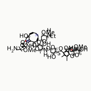 CCN[C@H]1CO[C@@H](O[C@H]2[C@H](O[C@H]3C#C/C=C\C#C[C@]4(O)CC(=O)C(NC(=O)OC)=C3/C4=C\CSSC(C)(C)CN)O[C@H](C)[C@@H](NO[C@H]3C[C@H](O)[C@H](SC(=O)c4c(C)c(I)c(O[C@@H]5O[C@@H](C)[C@H](O)[C@@H](OC)[C@H]5O)c(OC)c4OC)[C@@H](C)O3)[C@@H]2O)C[C@@H]1OC